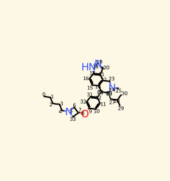 CCCCCN1CC(Oc2ccc([C@H]3c4ccc5[nH]ncc5c4CN(C)[C@H]3CC(C)C)cc2)C1